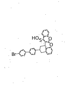 O=c1oc2ccccc2c(SO)c1C1CC(c2ccc(-c3ccc(Br)cc3)cc2)Cc2ccccc21